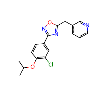 CC(C)Oc1ccc(-c2noc(Cc3cccnc3)n2)cc1Cl